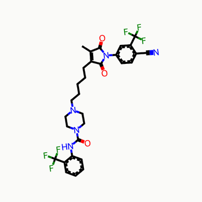 CC1=C(CCCCCN2CCN(C(=O)Nc3ccccc3C(F)(F)F)CC2)C(=O)N(c2ccc(C#N)c(C(F)(F)F)c2)C1=O